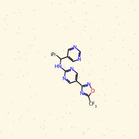 CC(C)C(Nc1ncc(-c2noc(C(F)(F)F)n2)cn1)c1cncnc1